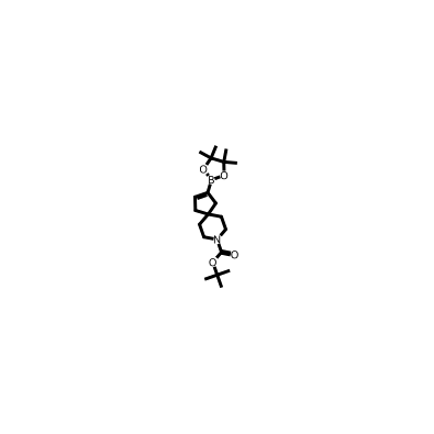 CC(C)(C)OC(=O)N1CCC2(CC=C(B3OC(C)(C)C(C)(C)O3)C2)CC1